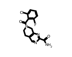 NC(=O)c1n[c]c2c(n1)CN(C(=O)c1c(F)cccc1Cl)CC2